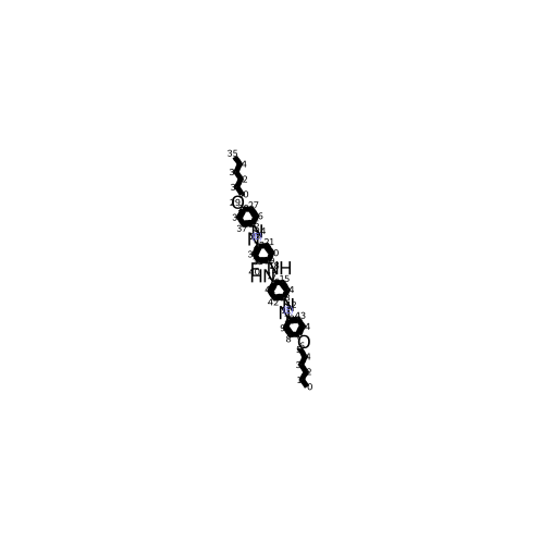 CCCCCCOc1ccc(/N=N/c2ccc(NNc3ccc(/N=N/c4ccc(OCCCCCC)cc4)cc3F)cc2)cc1